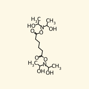 CC(O)N(OC(=O)CCCCC(=O)ON(C(C)O)C(C)O)C(C)O